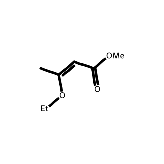 CCO/C(C)=C\C(=O)OC